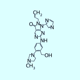 C=CCn1c(=O)c2cnc(Nc3ccc(N4CCN(C)CC4)c(CO)c3)nc2n1-c1cnccn1